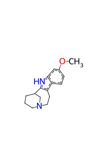 COc1ccc2c3c([nH]c2c1)C1CCCN(CC3)C1